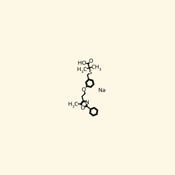 Cc1oc(-c2ccccc2)nc1CCOc1cccc(CSC(C)(C)C(=O)O)c1.[Na]